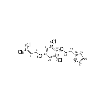 ClC(Cl)=CCOc1cc(Cl)c(OCCc2cccs2)c(Cl)c1